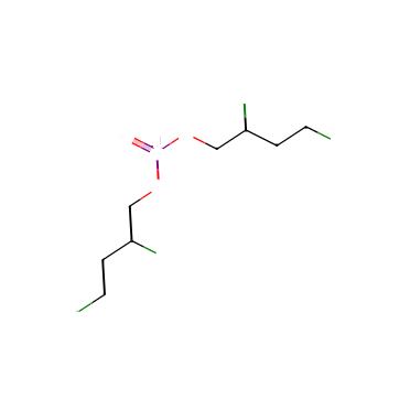 O=[PH](OCC(Cl)CCCl)OCC(Cl)CCCl